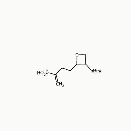 C=C(CCC1OCC1CCCCCC)C(=O)O